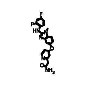 Cn1c(Nc2ccc(F)cc2F)nc2cc(Oc3ccnc(CC(N)=O)c3)ccc21